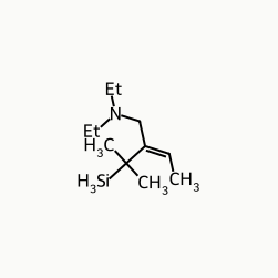 CC=C(CN(CC)CC)C(C)(C)[SiH3]